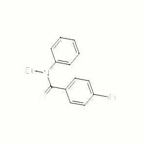 CCN(C(=O)c1ccc(C(C)C)cc1)c1ccccc1